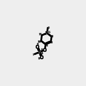 CN1CC=C(OS(C)(=O)=O)CC1